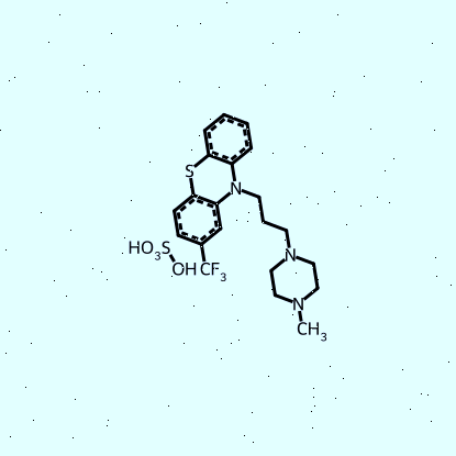 CN1CCN(CCCN2c3ccccc3Sc3ccc(C(F)(F)F)cc32)CC1.O=S(=O)(O)O